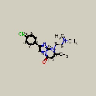 Cc1cc(=O)n2cc(-c3ccc(Cl)cc3)nc2n1CCN(C)C